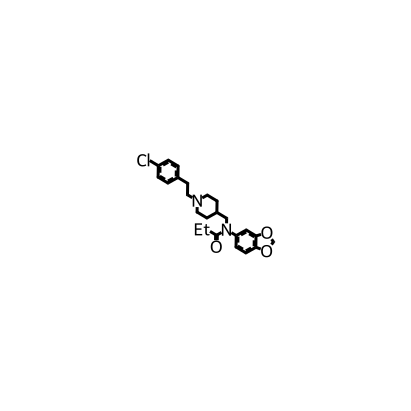 CCC(=O)N(CC1CCN(CCc2ccc(Cl)cc2)CC1)c1ccc2c(c1)OCO2